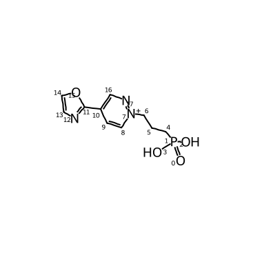 O=P(O)(O)CCC[n+]1ccc(-c2ncco2)cn1